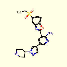 CCS(=O)(=O)c1ccc2oc(-c3cc(-c4cnn(C5CCNCC5)c4)cnc3N)nc2c1